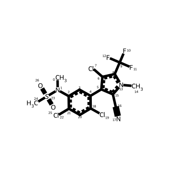 CN(c1cc(-c2c(Cl)c(C(F)(F)F)n(C)c2C#N)c(Cl)cc1Cl)S(C)(=O)=O